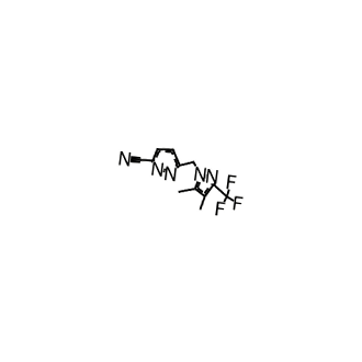 Cc1c(C(F)(F)F)nn(Cc2ccc(C#N)nn2)c1C